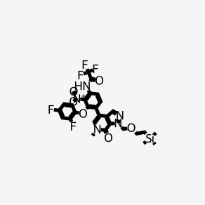 Cn1cc(-c2ccc(NC(=O)C(F)(F)F)c([N+](=O)[O-])c2Oc2ccc(F)cc2F)c2cnn(COCC[Si](C)(C)C)c2c1=O